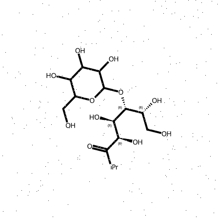 CC(C)C(=O)[C@H](O)[C@@H](O)[C@H](OC1OC(CO)C(O)C(O)C1O)[C@H](O)CO